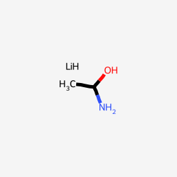 CC(N)O.[LiH]